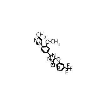 COc1cc(-c2nc(Oc3cccc(C(F)(F)F)c3)n(C)n2)ccc1-n1cnc(C)c1